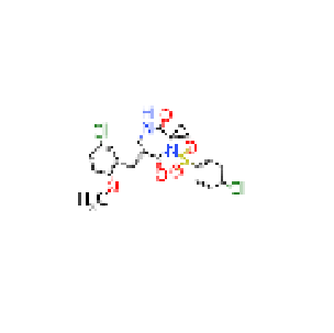 COc1ccc(Cl)cc1/C=C1\CNC(=O)C2(CC2)N(S(=O)(=O)c2ccc(Cl)cc2)C1=O